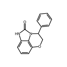 O=c1[nH]c2cccc3c2n1C(c1ccccc1)CO3